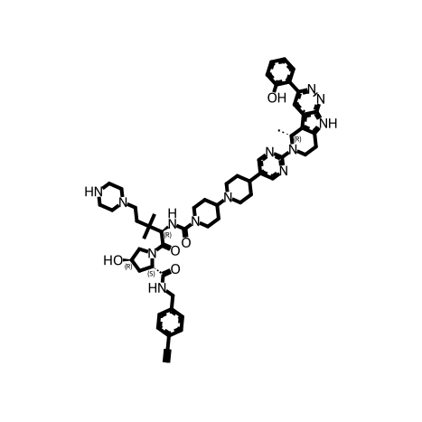 C#Cc1ccc(CNC(=O)[C@@H]2C[C@@H](O)CN2C(=O)[C@H](NC(=O)N2CCC(N3CCC(c4cnc(N5CCc6[nH]c7nnc(-c8ccccc8O)cc7c6[C@H]5C)nc4)CC3)CC2)C(C)(C)CCN2CCNCC2)cc1